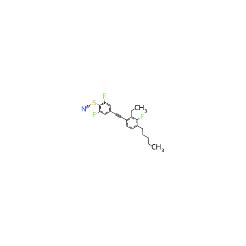 CCCCCc1ccc(C#Cc2cc(F)c(SC#N)c(F)c2)c(CC)c1F